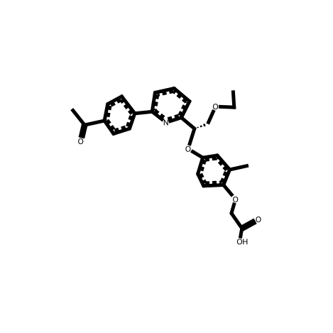 CCOC[C@H](Oc1ccc(OCC(=O)O)c(C)c1)c1cccc(-c2ccc(C(C)=O)cc2)n1